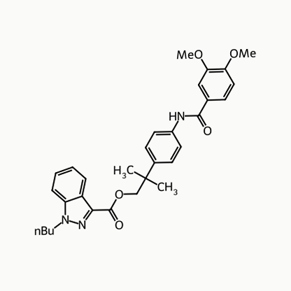 CCCCn1nc(C(=O)OCC(C)(C)c2ccc(NC(=O)c3ccc(OC)c(OC)c3)cc2)c2ccccc21